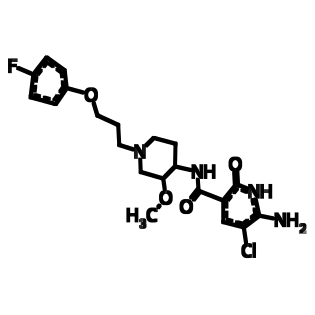 COC1CN(CCCOc2ccc(F)cc2)CCC1NC(=O)c1cc(Cl)c(N)[nH]c1=O